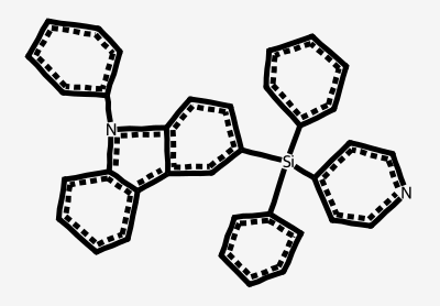 c1ccc(-n2c3ccccc3c3cc([Si](c4ccccc4)(c4ccccc4)c4ccncc4)ccc32)cc1